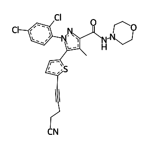 Cc1c(C(=O)NN2CCOCC2)nn(-c2ccc(Cl)cc2Cl)c1-c1ccc(C#CCCC#N)s1